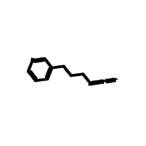 [N-]=[N+]=NCCCc1cccnc1